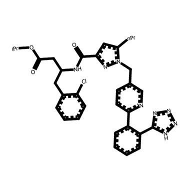 CCCc1cc(C(=O)NC(CC(=O)OC(C)C)Cc2ccccc2Cl)nn1Cc1ccc(-c2ccccc2-c2nnn[nH]2)nc1